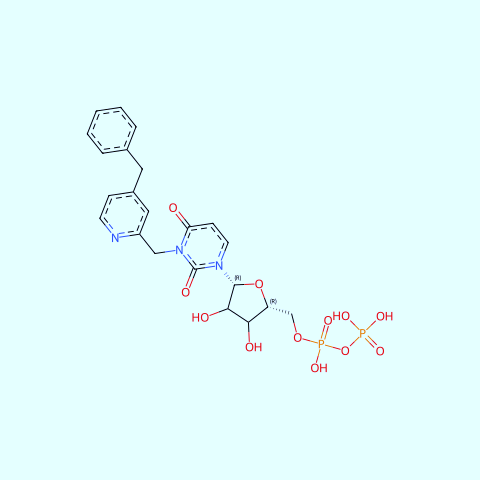 O=c1ccn([C@@H]2O[C@H](COP(=O)(O)OP(=O)(O)O)C(O)C2O)c(=O)n1Cc1cc(Cc2ccccc2)ccn1